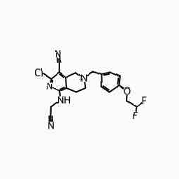 N#CCNc1nc(Cl)c(C#N)c2c1CCN(Cc1ccc(OCC(F)F)cc1)C2